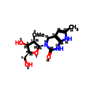 CO[C@@H]1[C@H](O)[C@@H](CO)O[C@H]1N1Cc2cc(C)[nH]c2NC1=O